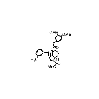 COC(=O)N1CC[C@@H]2[C@H]1CCC[C@]2(C#Cc1cccc(C)c1)OC(=O)Cc1ccc(OC)c(OC)c1